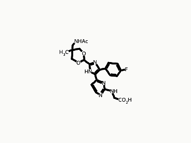 CC(=O)NCC1(C)COC(c2nc(-c3ccc(F)cc3)c(-c3ccnc(NCC(=O)O)n3)[nH]2)OC1